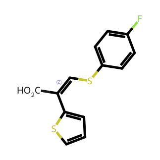 O=C(O)/C(=C/Sc1ccc(F)cc1)c1cccs1